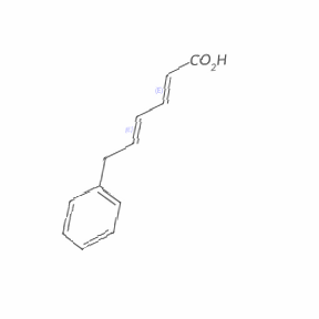 O=C(O)/C=C/C=C/Cc1ccccc1